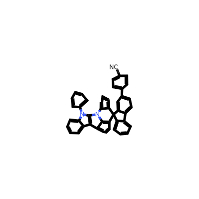 N#Cc1ccc(-c2ccc3c(c2)C2(c4ccccc4-3)c3ccccc3-n3c4c2cccc4c2c4ccccc4n(-c4ccccc4)c23)cc1